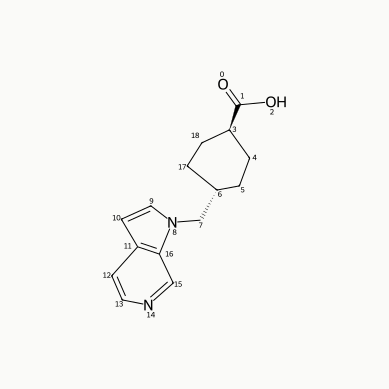 O=C(O)[C@H]1CC[C@H](Cn2ccc3ccncc32)CC1